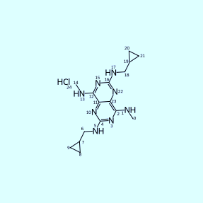 CNc1nc(NCC2CC2)nc2c(NC)nc(NCC3CC3)nc12.Cl